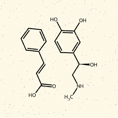 CNC[C@H](O)c1ccc(O)c(O)c1.O=C(O)C=Cc1ccccc1